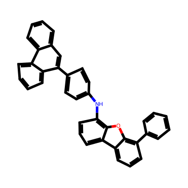 c1ccc(-c2cccc3c2oc2c(Nc4ccc(-c5cc6ccccc6c6ccccc56)cc4)cccc23)cc1